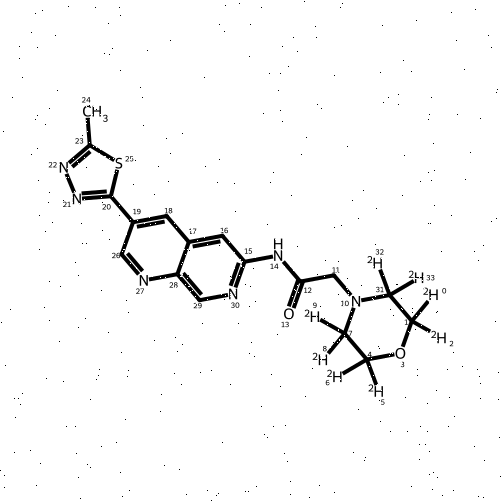 [2H]C1([2H])OC([2H])([2H])C([2H])([2H])N(CC(=O)Nc2cc3cc(-c4nnc(C)s4)cnc3cn2)C1([2H])[2H]